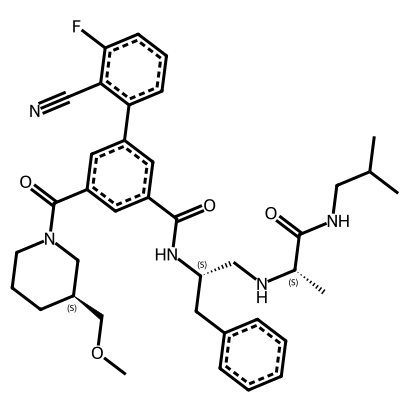 COC[C@H]1CCCN(C(=O)c2cc(C(=O)N[C@H](CN[C@@H](C)C(=O)NCC(C)C)Cc3ccccc3)cc(-c3cccc(F)c3C#N)c2)C1